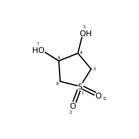 O=S1(=O)CC(O)C(O)C1